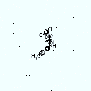 CN1CCN(c2ccc(Nc3ncc4c(n3)SCN(c3cc(Cl)ccc3Cl)C4=O)cc2)CC1